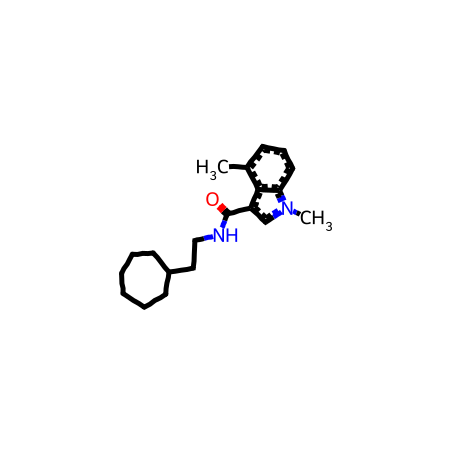 Cc1cccc2c1c(C(=O)NCCC1CCCCCC1)cn2C